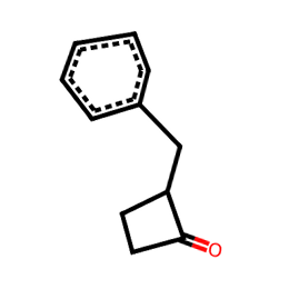 O=C1CCC1Cc1ccccc1